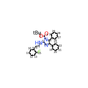 CC(C)(C)OC(=O)N1C(NCCc2ccccc2F)=NC(c2ccccc2)C1c1ccccc1